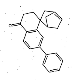 O=C1CCC2(CC3=CCC2C3)c2cc(-c3ccccc3)ccc21